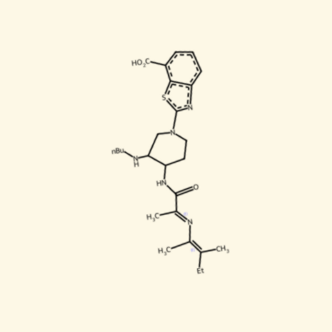 CCCCNC1CN(c2nc3cccc(C(=O)O)c3s2)CCC1NC(=O)/C(C)=N/C(C)=C(\C)CC